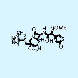 CON=C(C(=O)NC1C(=O)N2CC(CSc3nnnn3C)(C(=O)O)CS[C@H]12)c1csc(=O)[nH]1